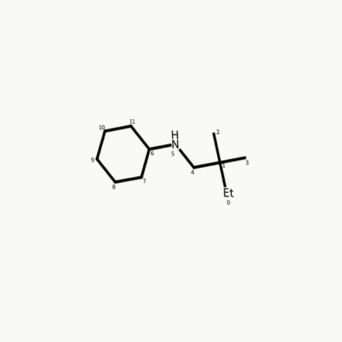 CCC(C)(C)CNC1CCCCC1